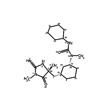 CN1C(=N)N[C@](C)(C[C@H]2CCC[C@@H](N(C)C(=O)NC3CCCCC3)C2)C1=O